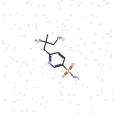 CC(N)(CN)Cc1ccc(S(N)(=O)=O)cn1